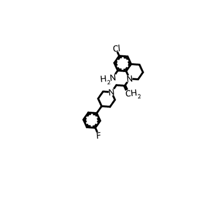 C=C(CN1CCC(c2cccc(F)c2)CC1)N1CCCc2cc(Cl)cc(N)c21